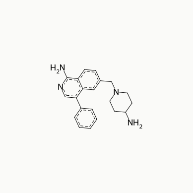 Nc1ncc(-c2ccccc2)c2cc(CN3CCC(N)CC3)ccc12